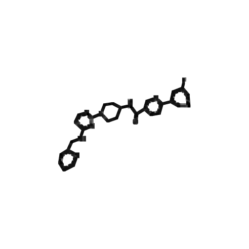 O=C(NC1CCN(c2nccc(NCc3ccccn3)n2)CC1)c1ccc(-c2cccc(F)c2)nc1